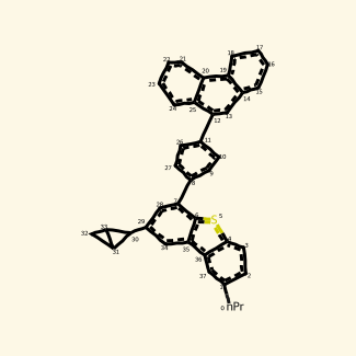 CCCc1ccc2sc3c(-c4ccc(-c5cc6ccccc6c6ccccc56)cc4)cc(C4C5CC54)cc3c2c1